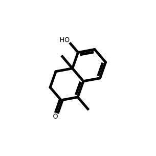 CC1=C2C=CC=C(O)C2(C)CCC1=O